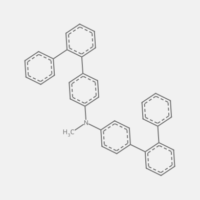 CN(c1ccc(-c2ccccc2-c2ccccc2)cc1)c1ccc(-c2ccccc2-c2ccccc2)cc1